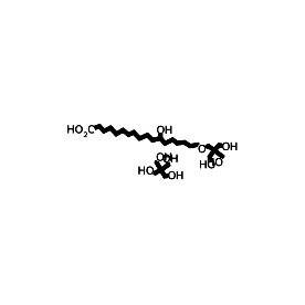 O=C(O)CCCCCCCCCCC(O)CCCCCCOCC(CO)(CO)CO.OCC(CO)(CO)CO